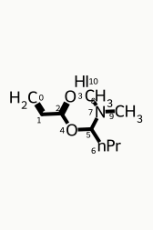 C=CC(=O)OC(CCC)N(C)C.I